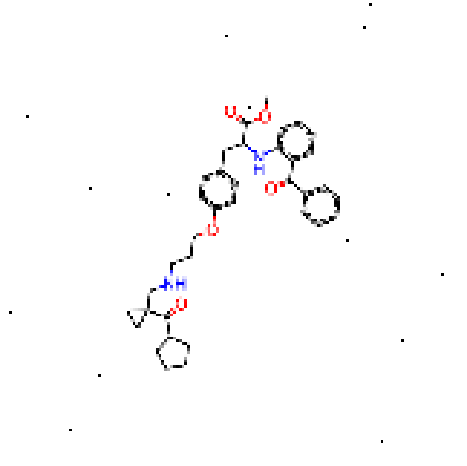 COC(=O)C(Cc1ccc(OCCCNCC2(C(=O)C3CCCC3)CC2)cc1)Nc1ccccc1C(=O)c1ccccc1